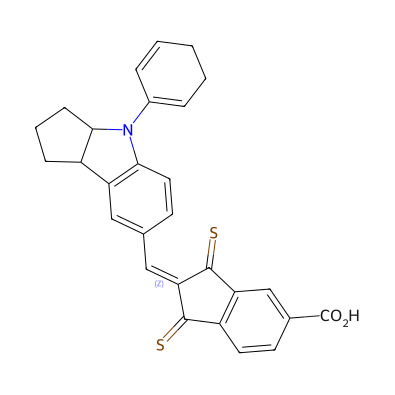 O=C(O)c1ccc2c(c1)C(=S)/C(=C\c1ccc3c(c1)C1CCCC1N3C1=CCCC=C1)C2=S